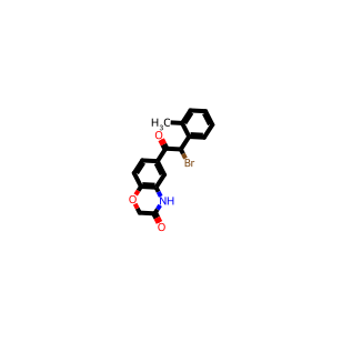 Cc1ccccc1C(Br)C(=O)c1ccc2c(c1)NC(=O)CO2